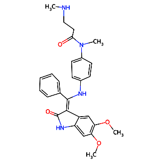 CNCCC(=O)N(C)c1ccc(NC(=C2C(=O)Nc3cc(OC)c(OC)cc32)c2ccccc2)cc1